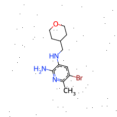 Cc1nc(N)c(NCC2CCOCC2)cc1Br